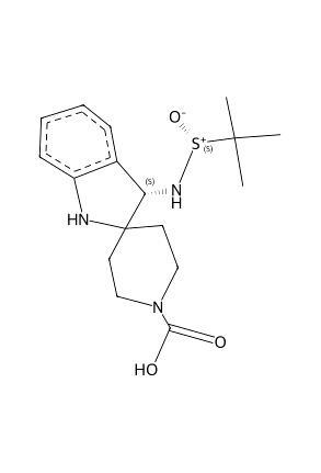 CC(C)(C)[S@@+]([O-])N[C@H]1c2ccccc2NC12CCN(C(=O)O)CC2